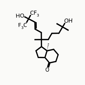 CC(C)(O)CCCC(C)(C/C=C/C(O)(C(F)(F)F)C(F)(F)F)C1CCC2C(=O)CCC[C@@]21C